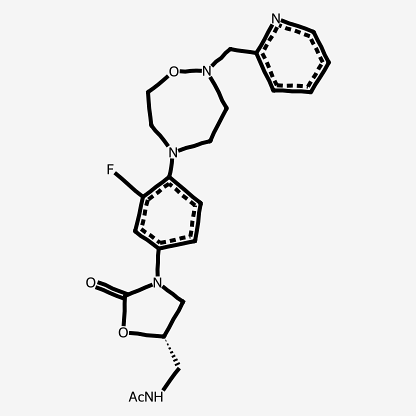 CC(=O)NC[C@H]1CN(c2ccc(N3CCON(Cc4ccccn4)CC3)c(F)c2)C(=O)O1